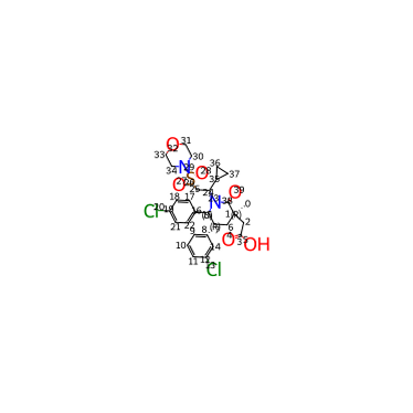 C[C@]1(CC(=O)O)C[C@H](c2cccc(Cl)c2)[C@@H](c2ccc(Cl)cc2)N(C(CS(=O)(=O)N2CCOCC2)C2CC2)C1=O